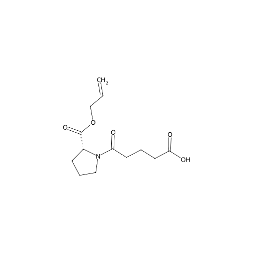 C=CCOC(=O)[C@H]1CCCN1C(=O)CCCC(=O)O